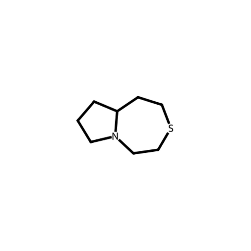 C1CC2CCSCCN2C1